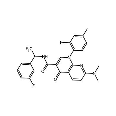 Cc1ccc(-n2cc(C(=O)NC(c3cccc(F)c3)C(F)(F)F)c(=O)c3ccc(N(C)C)nc32)c(F)c1